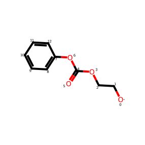 [O]CCOC(=O)Oc1ccccc1